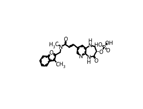 Cc1c(CN(C)C(=O)/C=C/c2cnc3c(c2)NC[C@H](OP(=O)(O)O)C(=O)N3)oc2ccccc12